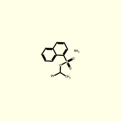 CC(C)C(C)OS(=O)(=O)c1cccc2ccccc12.N